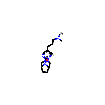 CCCC(C)N1CC2CCC(C1)N2c1ncc(CCCN(C)C(C)C)cn1